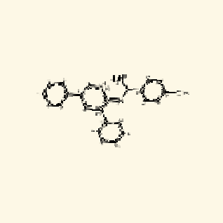 NC(/N=c1\[nH]cc(-c2ccccc2)cc1-c1ccccc1)c1ccc(Cl)cc1